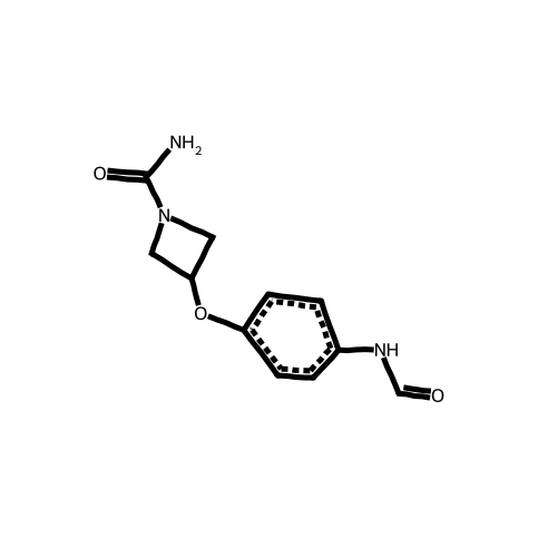 NC(=O)N1CC(Oc2ccc(NC=O)cc2)C1